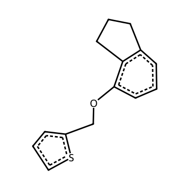 c1csc(COc2cccc3c2CCC3)c1